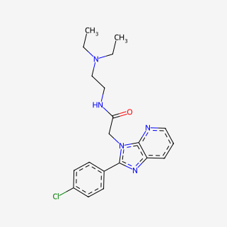 CCN(CC)CCNC(=O)Cn1c(-c2ccc(Cl)cc2)nc2cccnc21